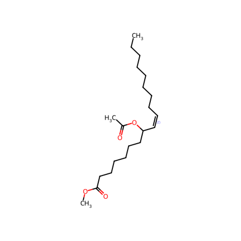 CCCCCCCC/C=C\C(CCCCCCC(=O)OC)OC(C)=O